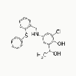 CC(O)c1cc(NCc2ccccc2Sc2ccccc2)cc(Cl)c1O